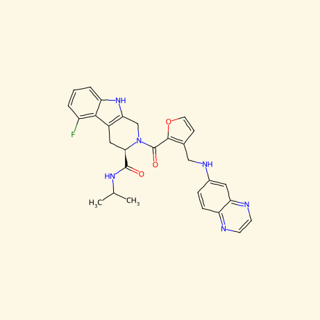 CC(C)NC(=O)[C@H]1Cc2c([nH]c3cccc(F)c23)CN1C(=O)c1occc1CNc1ccc2nccnc2c1